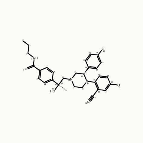 CCCNC(=O)c1ccc([C@](C)(O)CN2CCN(c3ccc(Cl)cc3C#N)[C@H](c3ccc(Cl)cc3)C2)cc1